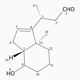 C[C@H](CC=O)C1=CC[C@H]2C(O)CCC[C@]12C